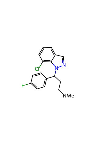 CNCCC(c1ccc(F)cc1)n1ncc2cccc(Cl)c21